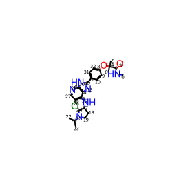 CNC(=O)C(C)(C)Oc1ccc(-c2nc3c(NC4CCN(C(C)C)C4)c(Cl)cnc3[nH]2)cc1